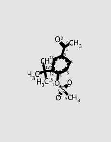 CC(=O)c1ccc(OS(C)(=O)=O)c(C(C)(C)C)c1